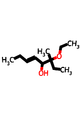 CCC=CC(O)C(C)(CC)OCC